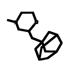 CN1CCOC(CC23CC4CC(CC(C4)C2)C3)C1